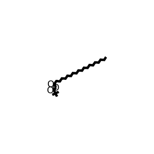 CCCCCCCCCCCCCCCCCCCC(=O)OC(=O)C(C)(C)C